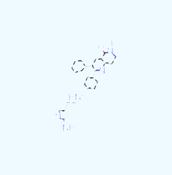 Cc1nc(N)sc1CCNCc1ccc(-c2nc3cc[nH]c(=O)c3cc2-c2ccccc2)cc1